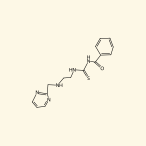 O=C(NC(=S)NCCNCc1ncccn1)c1ccccc1